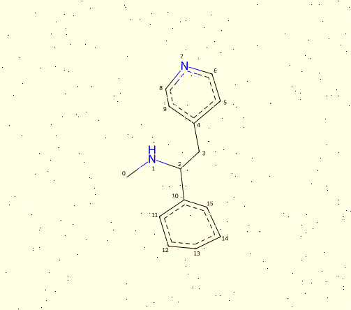 CNC(Cc1ccncc1)c1ccccc1